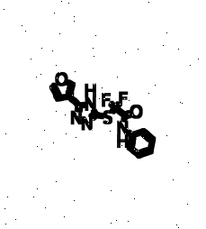 O=C(Nc1ccccc1)C(F)(F)Sc1nnc(-c2ccoc2)[nH]1